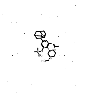 C=C(C)[C@@H]1CC[C@@H](CO)C[C@H]1c1c(C)cc(C23CC4CC(CC(C4)C2)C3)cc1O[Si](C)(C)C(C)(C)C